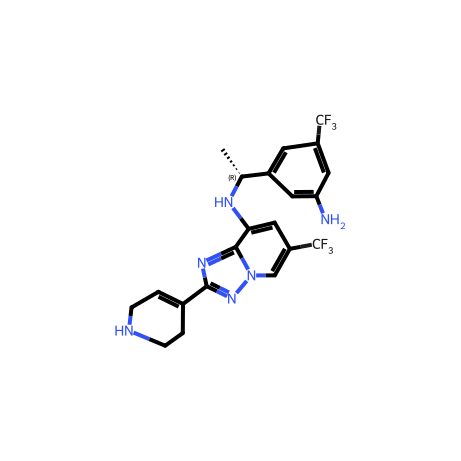 C[C@@H](Nc1cc(C(F)(F)F)cn2nc(C3=CCNCC3)nc12)c1cc(N)cc(C(F)(F)F)c1